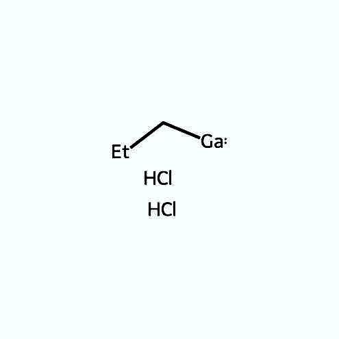 CC[CH2][Ga].Cl.Cl